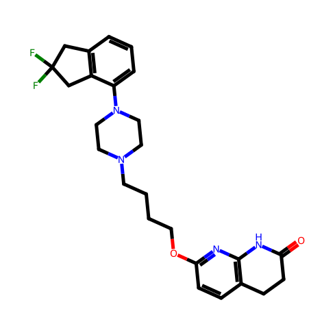 O=C1CCc2ccc(OCCCCN3CCN(c4cccc5c4CC(F)(F)C5)CC3)nc2N1